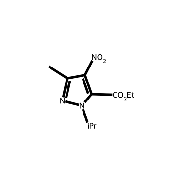 CCOC(=O)c1c([N+](=O)[O-])c(C)nn1C(C)C